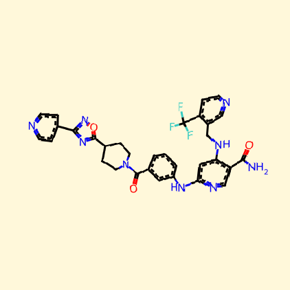 NC(=O)c1cnc(Nc2cccc(C(=O)N3CCC(c4nc(-c5ccncc5)no4)CC3)c2)cc1NCc1cnccc1C(F)(F)F